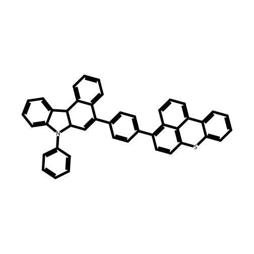 C1=C(c2ccc(-c3ccc4c5c(cccc35)-c3ccccc3S4)cc2)c2ccccc2C2c3ccccc3N(c3ccccc3)C12